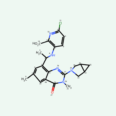 Cc1cc(C(C)Nc2ccc(Cl)nc2C(=O)O)c2nc(N3CC4CC4C3)n(C)c(=O)c2c1